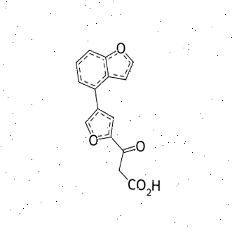 O=C(O)CC(=O)c1cc(-c2cccc3occc23)co1